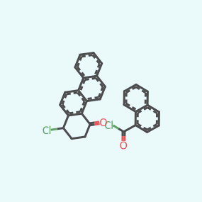 O=C(Cl)c1cccc2ccccc12.O=C1CCC(Cl)c2ccc3c(ccc4ccccc43)c21